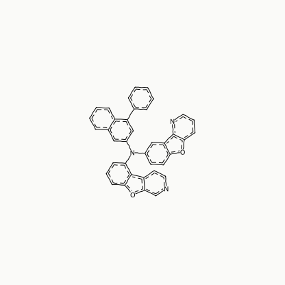 c1ccc(-c2cc(N(c3ccc4oc5cccnc5c4c3)c3cccc4oc5cnccc5c34)cc3ccccc23)cc1